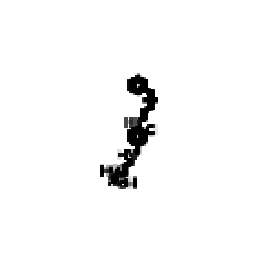 CC(C)(CCCNc1ccc(CNCCCP(=O)(O)O)cc1Cl)Cc1ccccc1